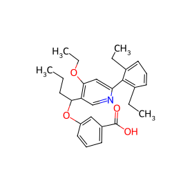 CCCC(Oc1cccc(C(=O)O)c1)c1cnc(-c2c(CC)cccc2CC)cc1OCC